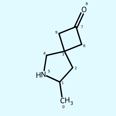 CC1CC2(CN1)CC(=O)C2